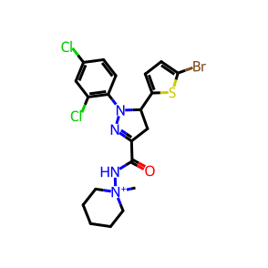 C[N+]1(NC(=O)C2=NN(c3ccc(Cl)cc3Cl)C(c3ccc(Br)s3)C2)CCCCC1